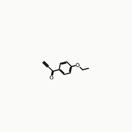 C#CC(=O)c1ccc(OCC)cc1